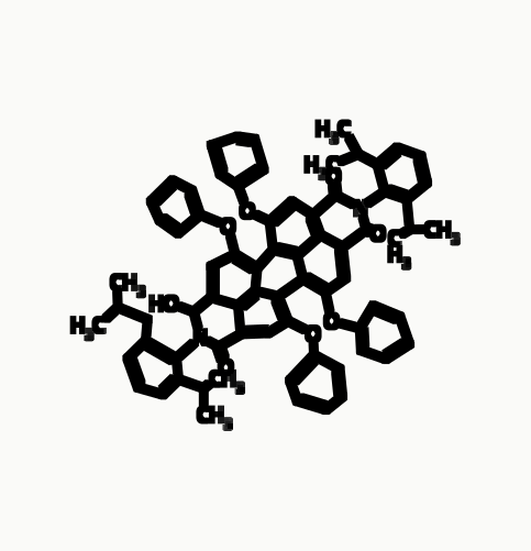 CC(C)Cc1cccc(C(C)C)c1N1C(=O)c2cc(Oc3ccccc3)c3c4c(Oc5ccccc5)cc5c6c(cc(Oc7ccccc7)c(c7c(Oc8ccccc8)cc(c2c37)C1O)c64)C(=O)N(c1c(C(C)C)cccc1C(C)C)C5=O